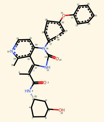 C/C(C(=O)N[C@H]1CCCC(O)C1)=C1/NC(=O)N(c2ccc(Oc3ccccc3)cc2)c2ccnc(C)c21